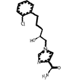 NC(=O)c1cn(C[C@@H](O)CCCc2ccccc2Cl)cn1